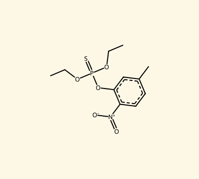 CCOP(=S)(OCC)Oc1cc(C)ccc1[N+](=O)[O-]